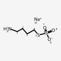 NCCCCSS(=O)(=O)[O-].[Na+]